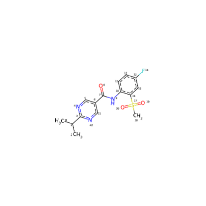 CC(C)c1ncc(C(=O)Nc2ccc(F)cc2S(C)(=O)=O)cn1